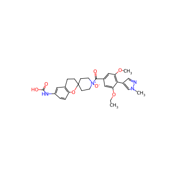 CCOc1cc(C(=O)[N+]2([O-])CCC3(CCc4cc(NC(=O)O)ccc4O3)CC2)cc(OC)c1-c1cnn(C)c1